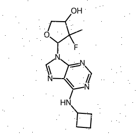 CC1(F)C(O)COC1n1cnc2c(NC3CCC3)ncnc21